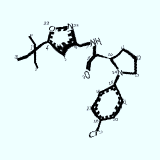 CC(C)(C)c1cc(NC(=O)[C@H]2CCCN2c2ccc(Cl)cc2)no1